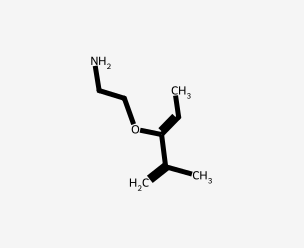 C=C(C)C(=CC)OCCN